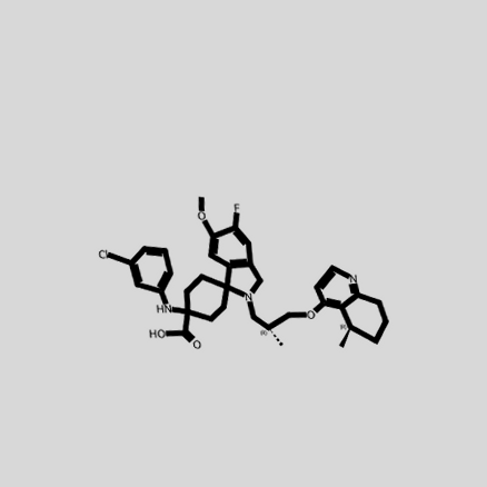 COc1cc2c(cc1F)CN(C[C@@H](C)COc1ccnc3c1[C@H](C)CCC3)C21CCC(Nc2cccc(Cl)c2)(C(=O)O)CC1